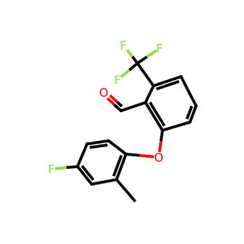 Cc1cc(F)ccc1Oc1cccc(C(F)(F)F)c1C=O